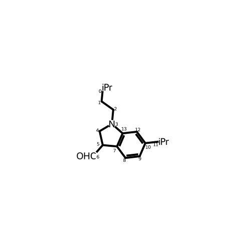 CC(C)CCN1CC(C=O)c2ccc(C(C)C)cc21